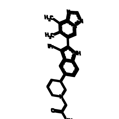 CNC(=O)CN1CCCC(c2ccc3[nH]c(-c4cn5ncnc5c(C)c4C)c(C(C)C)c3c2)C1